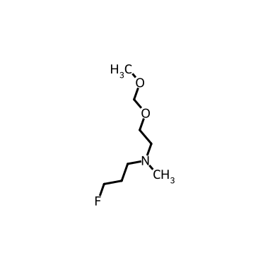 COCOCCN(C)CCCF